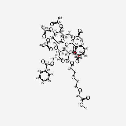 COC(=O)COCCOCCO[C@@H]1O[C@H](COC(=O)c2ccccc2)[C@@H](O[C@@H]2O[C@H](COC(C)=O)[C@H](OC(C)=O)[C@H](OC(C)=O)[C@H]2OC(C)=O)[C@H](OCc2ccccc2)[C@H]1NC(C)=O